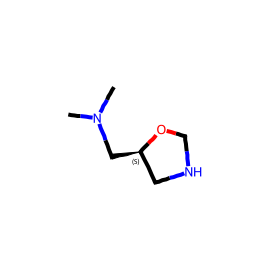 CN(C)C[C@@H]1CNCO1